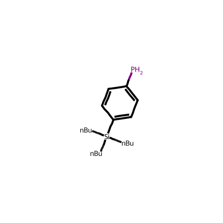 CCCC[Si](CCCC)(CCCC)c1ccc(P)cc1